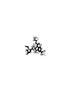 CCn1nc(C)cc1C(=O)N[C@@]1(N)C(N)c2cc(C(N)=O)cc3c2C1C(CCCN)CO3